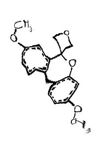 COc1ccc2c(c1)OC1(COC1)c1cc(OC)ccc1-2